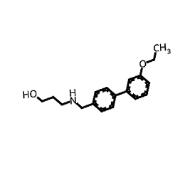 CCOc1cccc(-c2ccc(CNCCCO)cc2)c1